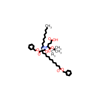 CCCCCCCCCCC[C@](CCCCCCCCCCC(=O)OCc1ccccc1)(C(=O)NC(CCC(=O)O)C(=O)OC(C)(C)C)C(=O)OCc1ccccc1